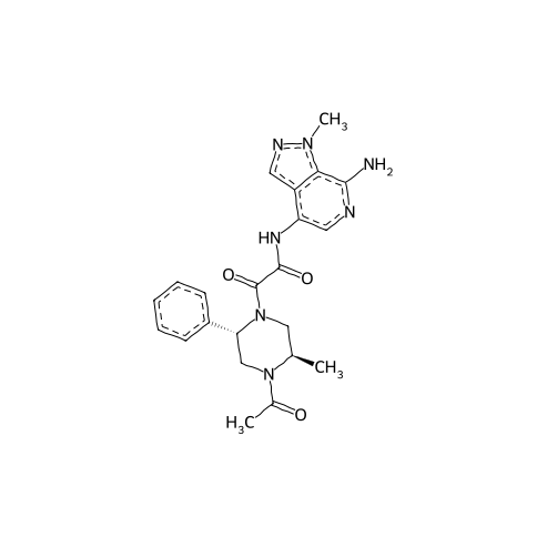 CC(=O)N1C[C@H](c2ccccc2)N(C(=O)C(=O)Nc2cnc(N)c3c2cnn3C)C[C@H]1C